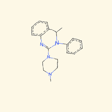 CC1c2ccccc2N=C(N2CCN(C)CC2)N1c1ccccc1